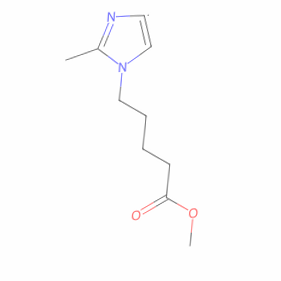 COC(=O)CCCCn1c[c]nc1C